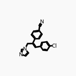 N#Cc1ccc(/C(=C\c2ccc(Cl)cc2)Cn2ccnc2)cc1